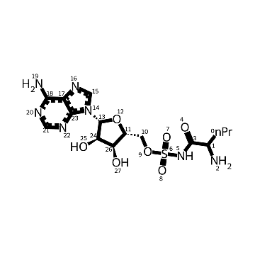 CCCC(N)C(=O)NS(=O)(=O)OC[C@H]1O[C@@H](n2cnc3c(N)ncnc32)[C@H](O)[C@@H]1O